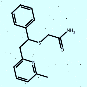 Cc1cccc(CC(SCC(N)=O)c2ccccc2)n1